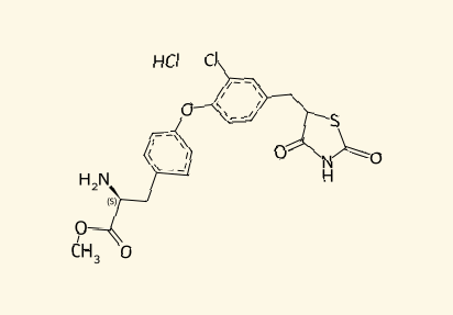 COC(=O)[C@@H](N)Cc1ccc(Oc2ccc(CC3SC(=O)NC3=O)cc2Cl)cc1.Cl